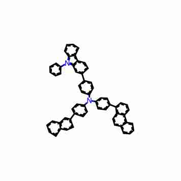 c1ccc(-n2c3ccccc3c3ccc(-c4ccc(N(c5ccc(-c6ccc7ccccc7c6)cc5)c5ccc(-c6cccc7c6ccc6ccccc67)cc5)cc4)cc32)cc1